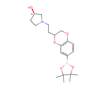 CC1(C)OB(c2ccc3c(c2)OC(CCN2CC[C@@H](O)C2)CO3)OC1(C)C